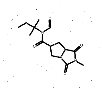 CCC(C)(C)N(C=O)C(=O)C1CC2C(=O)N(C)C(=O)C2C1